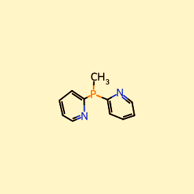 CP(c1ccccn1)c1ccccn1